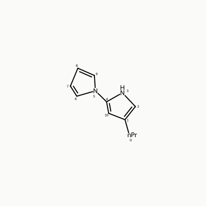 CCCc1c[nH]c(-n2cccc2)c1